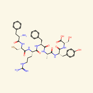 C[C@H](NC(=O)[C@H](Cc1ccccc1)NC(=O)[C@H](CCCNC(=N)N)NC(=O)[C@H](CS)NC(=O)[C@@H](N)Cc1ccccc1)C(=O)N[C@@H](Cc1ccc(O)cc1)C(=O)N[C@@H](CO)C(=O)O